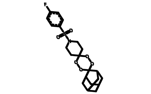 O=S(=O)(c1ccc(F)cc1)N1CCC2(CC1)OOC1(OO2)C2CC3CC(C2)CC1C3